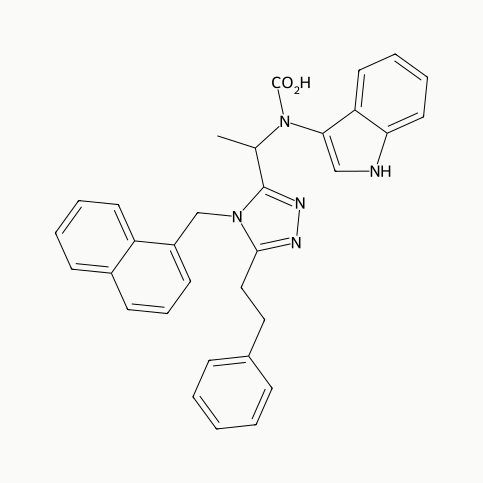 CC(c1nnc(CCc2ccccc2)n1Cc1cccc2ccccc12)N(C(=O)O)c1c[nH]c2ccccc12